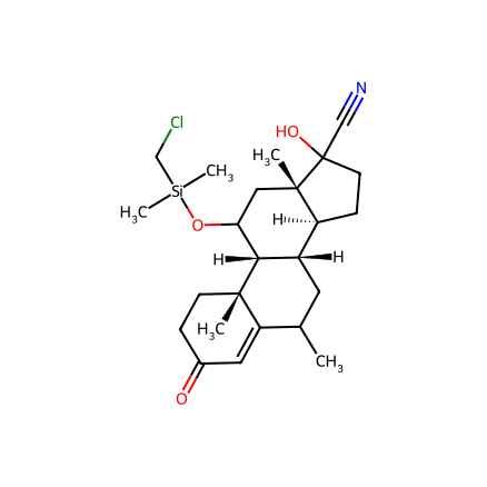 CC1C[C@@H]2[C@@H](C(O[Si](C)(C)CCl)C[C@@]3(C)[C@H]2CCC3(O)C#N)[C@@]2(C)CCC(=O)C=C12